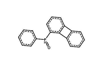 O=[PH](c1ccccc1)c1cccc2c1-c1ccccc1-2